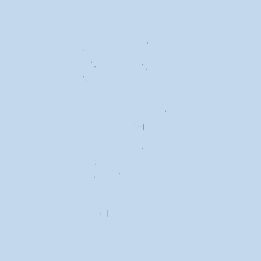 CCCOS(=O)(=O)c1ccc(C)c(OC2CC(Oc3ccc4c(c3)Sc3cc([N+](=O)[O-])ccc3N4C(C)=O)C2)c1